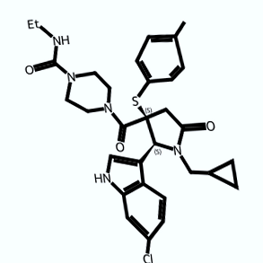 CCNC(=O)N1CCN(C(=O)[C@]2(Sc3ccc(C)cc3)CC(=O)N(CC3CC3)[C@H]2c2c[nH]c3cc(Cl)ccc23)CC1